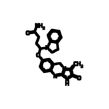 C=c1c(=O)[nH]c2n1Cc1cc(OC(CCC(N)=O)N3CCc4ccccc43)ccc1N=2